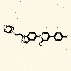 Cc1ccc(-c2ccn(-c3ccc4c(cnn4CCN4CC5CC4CO5)c3)c(=O)c2)cc1